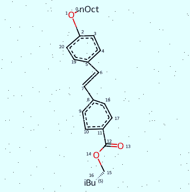 CCCCCCCCOc1ccc(C=Cc2ccc(C(=O)OC[C@@H](C)CC)cc2)cc1